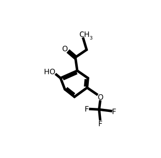 CCC(=O)c1cc(OC(F)(F)F)ccc1O